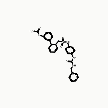 CC(=O)Nc1cccc(C2C=CC=CC2CS(=O)(=O)Nc2ccc(NC(=O)NCc3ccccc3)cc2)c1